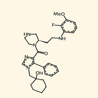 COc1cccc(NCC[C@@H]2CNCCN2C(=O)c2ncn(CC3(O)CCCCC3)c2-c2ccccc2)c1F